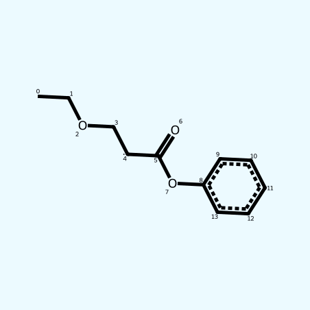 CCOC[CH]C(=O)Oc1ccccc1